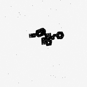 O=C(NC1C2CC3CC1CC(O)(C3)C2)C1(COCc2ccccc2)CCCN1